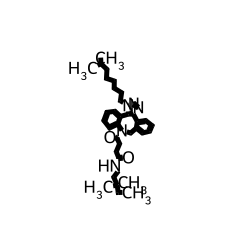 CCC(C)(C)CCNC(=O)CCC(=O)N1Cc2ccccc2-c2nnn(CCCCCCC(C)C)c2-c2ccccc21